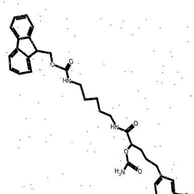 NC(=O)OC(CCCc1cccc(O)c1)C(=O)NCCCCCNC(=O)OCC1c2ccccc2-c2ccccc21